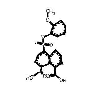 COc1ccccc1OS(=O)(=O)c1ccc(C(=O)O)c2c(C(=O)O)cccc12